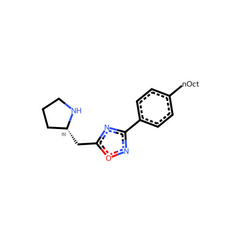 CCCCCCCCc1ccc(-c2noc(C[C@@H]3CCCN3)n2)cc1